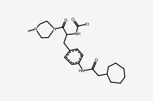 CCC(=O)NC(Cc1ccc(NC(=O)CC2CCCCCC2)cc1)C(=O)N1CCN(C)CC1